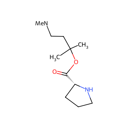 CNCCC(C)(C)OC(=O)[C@H]1CCCN1